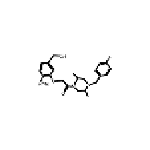 COc1ccc(CO)cc1OCC(=O)N1CC(C)N(Cc2ccc(F)cc2)CC1C